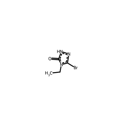 CCn1c(Br)n[nH]c1=O